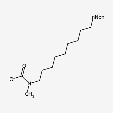 CCCCCCCCCCCCCCCCCCN(C)C([O])=O